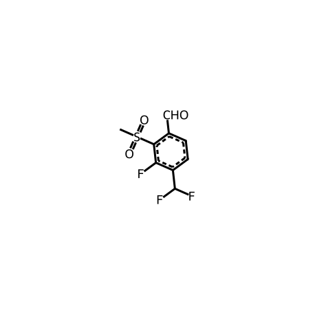 CS(=O)(=O)c1c(C=O)ccc(C(F)F)c1F